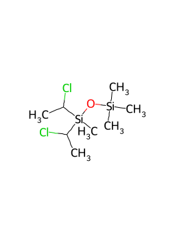 CC(Cl)[Si](C)(O[Si](C)(C)C)C(C)Cl